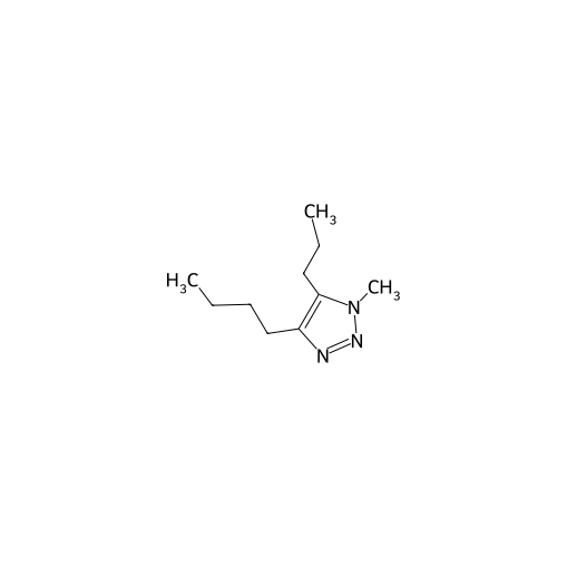 CCCCc1nnn(C)c1CCC